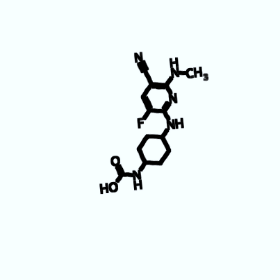 CNc1nc(NC2CCC(NC(=O)O)CC2)c(F)cc1C#N